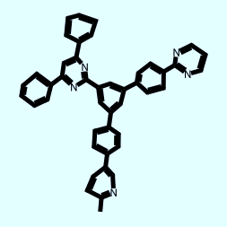 Cc1ccc(-c2ccc(-c3cc(-c4ccc(-c5ncccn5)cc4)cc(-c4nc(-c5ccccc5)cc(-c5ccccc5)n4)c3)cc2)cn1